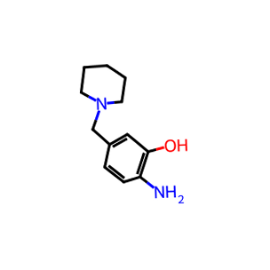 Nc1ccc(CN2CCCCC2)cc1O